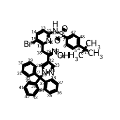 CC(C)(C)c1ccc(S(=O)(=O)Nc2ccc(Br)c(CC(=NO)c3cnn(C(c4ccccc4)(c4ccccc4)c4ccccc4)c3)n2)cc1